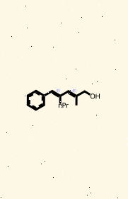 CCCC(/C=C(\C)CO)=C\c1ccccc1